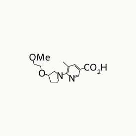 COCCO[C@@H]1CCN(c2ncc(C(=O)O)cc2C)C1